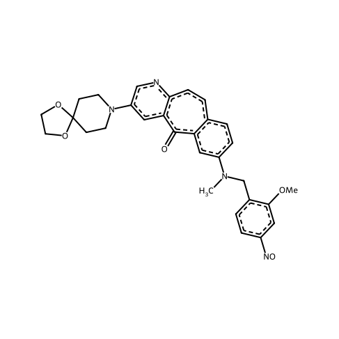 COc1cc(N=O)ccc1CN(C)c1ccc2ccc3ncc(N4CCC5(CC4)OCCO5)cc3c(=O)c2c1